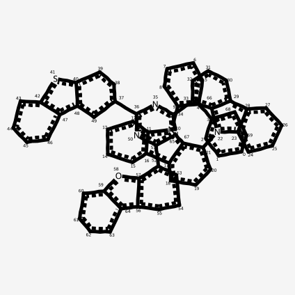 c1ccc(-c2ccccc2-n2c3ccccc3c3cccc(-n4c5ccccc5c5cccc(-c6nc(-c7ccc8sc9ccccc9c8c7)nc(-c7cccc8c7oc7ccccc78)n6)c54)c32)cc1